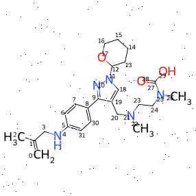 C=C(C)CNc1ccc(-c2nn(C3CCCCO3)cc2CN(C)CCN(C)C(=O)O)cc1